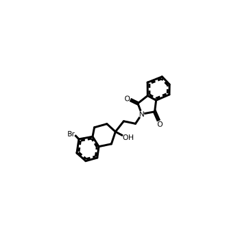 O=C1c2ccccc2C(=O)N1CCC1(O)CCc2c(Br)cccc2C1